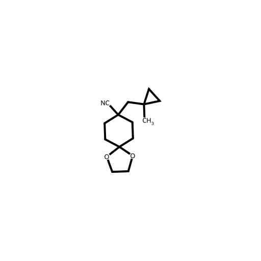 CC1(CC2(C#N)CCC3(CC2)OCCO3)CC1